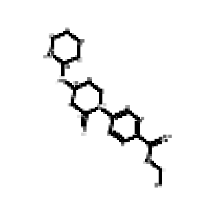 CCOC(=O)c1ccc(N2CCC(OC3CCCCO3)CC2=O)cc1